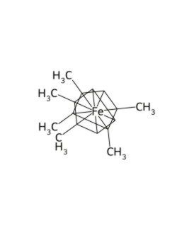 C[C]12[CH]3[CH]4[CH]5[C]1(C)[Fe]43521678[CH]2[C]1(C)[C]6(C)[C]7(C)[C]28C